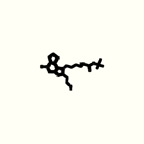 COCCc1nc2c[n+]([O-])c3ccsc3c2n1CCCCNC(=O)OC(C)(C)C